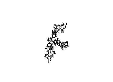 COC(=O)N[C@H](C(=O)N1CCC[C@H]1c1nc2cc([C@H]3CC[C@H](c4ccc5[nH]c([C@@H]6CCCN6C(=O)[C@H](C(C)C)N(C)C(=O)O)nc5c4)N3c3cc(F)c(N4CCC(C(C)=O)(c5ccccc5)CC4)c(F)c3)ccc2[nH]1)C(C)C